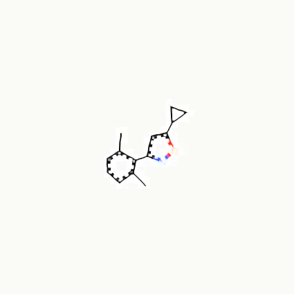 Cc1cccc(C)c1-c1cc(C2CC2)on1